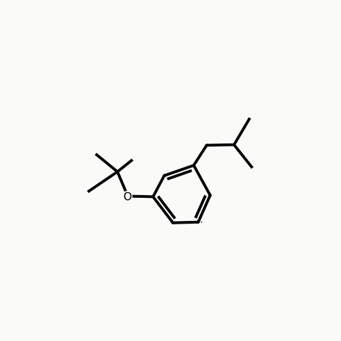 CC(C)Cc1c[c]cc(OC(C)(C)C)c1